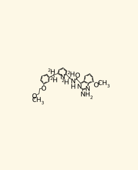 [2H]C([2H])(NC(=O)c1nc(N)nc2c(OC)cccc12)c1cccc(C([2H])([2H])c2cccc(OCCOC)c2)n1